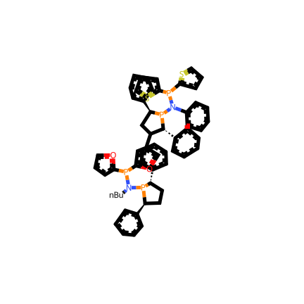 CCCCN(P(c1ccco1)c1cc(C2C[C@@H](c3ccccc3)P(N(c3ccccc3)P(c3cccs3)c3cccs3)[C@@H]2c2ccccc2)co1)P1[C@H](c2ccccc2)CC[C@H]1c1ccccc1